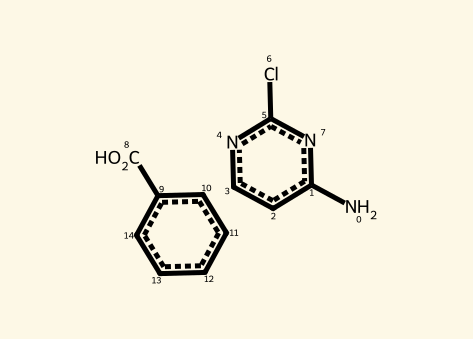 Nc1ccnc(Cl)n1.O=C(O)c1ccccc1